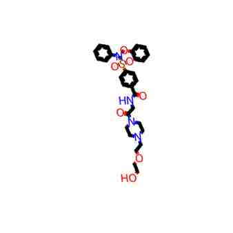 O=C(NCC(=O)N1CCN(CCOCCO)CC1)c1ccc(S(=O)(=O)N(Oc2ccccc2)c2ccccc2)cc1